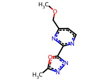 COCc1ccnc(-c2nnc(C)o2)n1